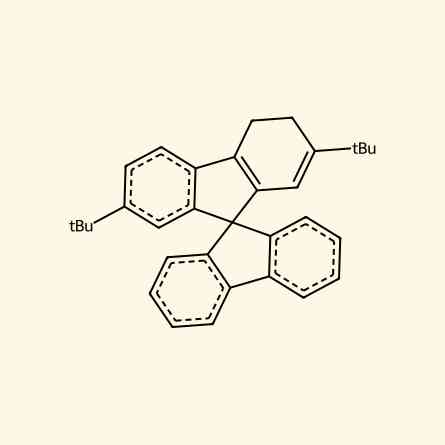 CC(C)(C)C1=CC2=C(CC1)c1ccc(C(C)(C)C)cc1C21c2ccccc2-c2ccccc21